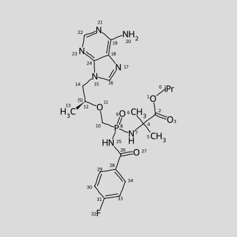 CC(C)OC(=O)C(C)(C)NP(=O)(CO[C@@H](C)Cn1cnc2c(N)ncnc21)NC(=O)c1ccc(F)cc1